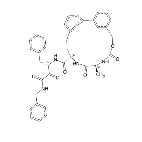 C[C@@H]1NC(=O)OCc2cccc(c2)-c2cccc(c2)CC[C@@H](C(=O)N[C@@H](Cc2ccccc2)C(=O)C(=O)NCc2ccccc2)NC1=O